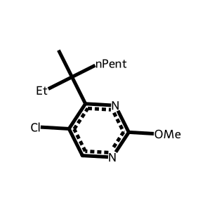 CCCCCC(C)(CC)c1nc(OC)ncc1Cl